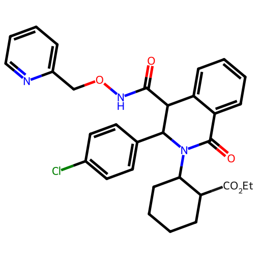 CCOC(=O)C1CCCCC1N1C(=O)c2ccccc2C(C(=O)NOCc2ccccn2)C1c1ccc(Cl)cc1